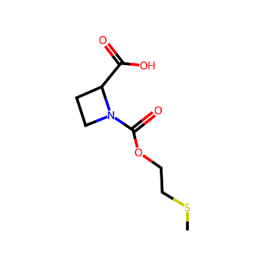 CSCCOC(=O)N1CCC1C(=O)O